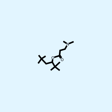 CN(C)CCC(=O)OC(CC(C)(C)C)C(C)(C)C